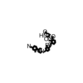 Cc1cc(C#N)ccc1N1CCN(Cc2ccc(COc3cccc4c3CN([C@H]3CCC(=O)NC3=O)C4=O)c(F)c2)CC1